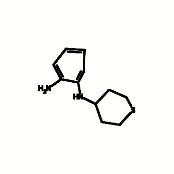 Nc1ccccc1NC1CCSCC1